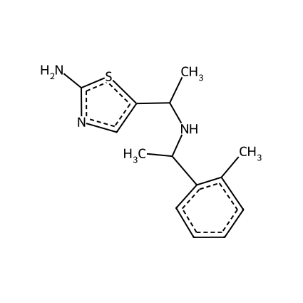 Cc1ccccc1C(C)NC(C)c1cnc(N)s1